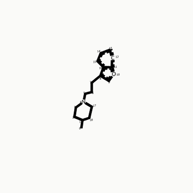 CC1CCN(CCCc2coc3ccccc23)CC1